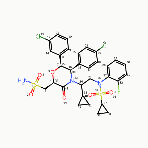 NS(=O)(=O)C[C@H]1O[C@@H](c2cccc(Cl)c2)[C@@H](c2ccc(Cl)cc2)N(C(CN(c2ccccc2F)S(=O)(=O)C2CC2)C2CC2)C1=O